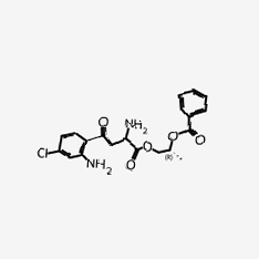 C[C@H](COC(=O)C(N)CC(=O)c1ccc(Cl)cc1N)OC(=O)c1ccccc1